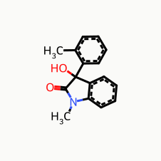 Cc1ccccc1C1(O)C(=O)N(C)c2ccccc21